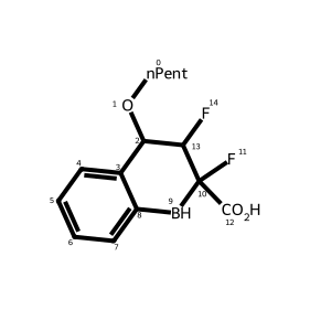 CCCCCOC1c2ccccc2BC(F)(C(=O)O)C1F